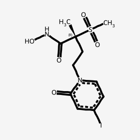 C[C@@](CCn1ccc(I)cc1=O)(C(=O)NO)S(C)(=O)=O